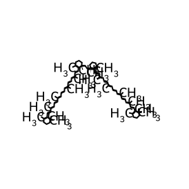 CC1=C(/C=C/C(C)=C/C=C/C(C)=C/C=C/C=C(C)/C=C/C=C(C)/C=C/C2=C(C)CCC[C@]2(C)CC[C@@]2(C)CCCC(C)=C2/C=C/C(C)=C/C=C/C(C)=C/C=C/C=C(C)/C=C/C=C(C)/C=C/C2=C(C)CCCC2(C)C)C(C)(C)CCC1